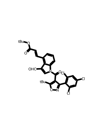 CC(C)(C)OC(=O)/C=C/c1cccc2c1c(C=O)cn2C(=O)c1c(-c2c(Cl)cc(Cl)cc2Cl)noc1C(C)(C)C